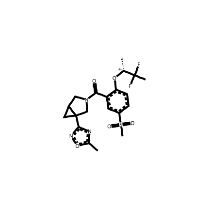 Cc1nc(C23CC2CN(C(=O)c2cc(S(C)(=O)=O)ccc2O[C@H](C)C(C)(F)F)C3)no1